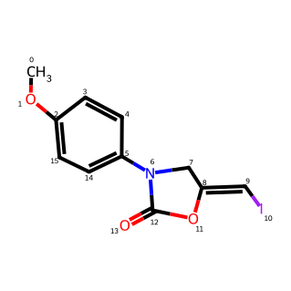 COc1ccc(N2CC(=CI)OC2=O)cc1